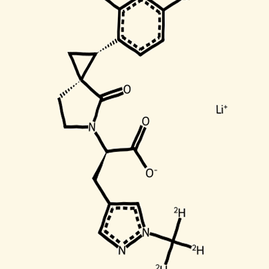 [2H]C([2H])([2H])n1cc(C[C@H](C(=O)[O-])N2CC[C@@]3(C[C@@H]3c3ccc(Br)cc3Cl)C2=O)cn1.[Li+]